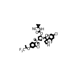 C[C@H](Oc1ccc(S(=O)(=O)[C@@H]2C[C@H](OC(=O)NC3(C#N)CC3)N(C(=O)C3(c4ncc(Cl)cc4F)CCN3)C2)c(Cl)c1)C(F)(F)F